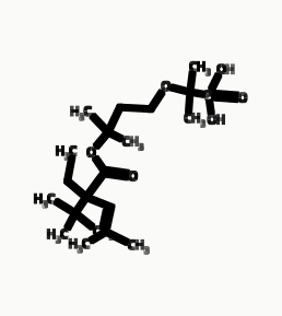 CCC(C=C(C)C)(C(=O)OC(C)(C)CCOC(C)(C)P(=O)(O)O)C(C)(C)C